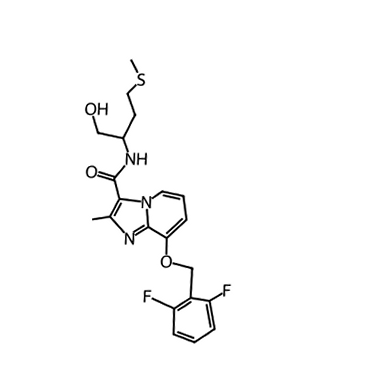 CSCCC(CO)NC(=O)c1c(C)nc2c(OCc3c(F)cccc3F)cccn12